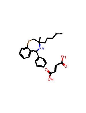 CCCCCC1(C)CSc2ccccc2C(c2ccccc2)N1.O=C(O)C=CC(=O)O